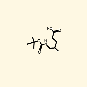 CC(CCC(=O)O)CNC(=O)OC(C)(C)C